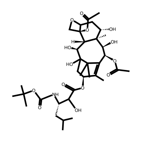 CC(=O)O[C@H]1C2=C(C)[C@@H](OC(=O)C(O)[C@H](CC(C)C)NC(=O)OC(C)(C)C)CC(O)([C@@H](O)[C@H]3[C@@](C)([C@@H](O)CC4OC[C@]43OC(C)=O)[C@H]1O)C2(C)C